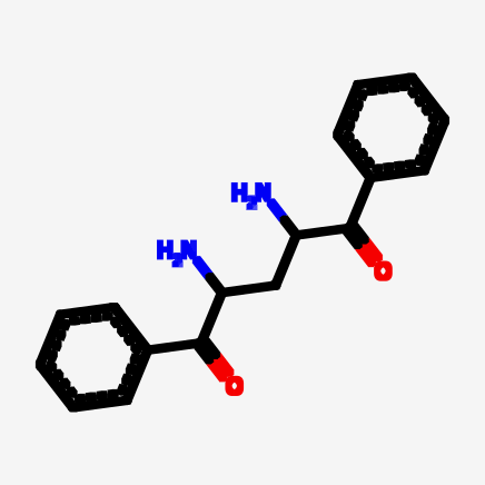 NC(CC(N)C(=O)c1ccccc1)C(=O)c1ccccc1